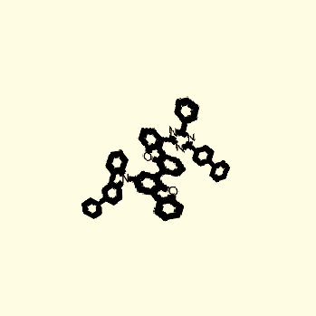 c1ccc(-c2ccc(-c3nc(-c4ccccc4)nc(-c4cccc5oc6c(-c7cc(-n8c9ccccc9c9cc(-c%10ccccc%10)ccc98)cc8c7oc7ccccc78)cccc6c45)n3)cc2)cc1